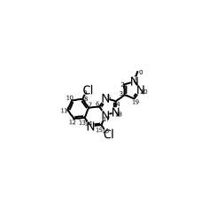 Cn1cc(-c2nc3c4c(Cl)cccc4nc(Cl)n3n2)cn1